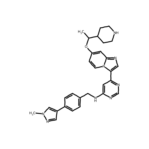 CC(Oc1ccn2c(-c3cc(NCc4ccc(-c5cnn(C)c5)cc4)ncn3)cnc2c1)C1CCNCC1